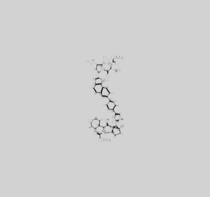 COC(=O)N[C@H](C(=O)N1C(C)[C@H](C)C[C@H]1c1nc2ccc3cc(-c4ccc(-c5cnc([C@@H]6[C@H]7CC[C@H](C7)N6C(=O)[C@@H](NC(=O)OC)C6CCOCC6)[nH]5)cc4)ccc3c2[nH]1)C(C)C